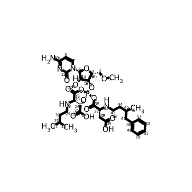 COC[C@H]1O[C@@H](n2ccc(N)nc2=O)[C@H](O)[C@@H]1OP(=O)(OC(=O)[C@H](CC(=O)O)NCCC(C)C)OC(=O)[C@H](CC(=O)O)NCCC(C)Cc1ccccc1